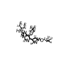 Cc1nn(COCC[Si](C)(C)C)cc1-c1ncn2nc(NC(CF)CF)nc2c1OCC(F)(F)F